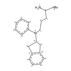 CCCCC(N)CCCN(c1ccccc1)C1Cc2ccccc2C1